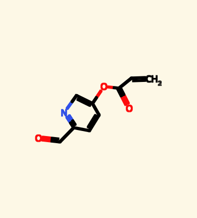 C=CC(=O)Oc1ccc(C=O)nc1